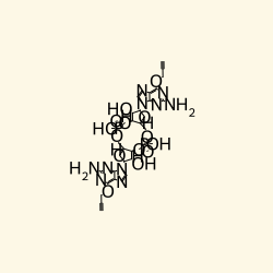 C#CCOc1nc(N)nc2c1ncn2[C@@H]1O[C@@H]2COP(=O)(O)O[C@H]3[C@@H](O)[C@H](n4cnc5c(OCC#C)nc(N)nc54)O[C@@H]3COP(=O)(O)O[C@H]2[C@H]1O